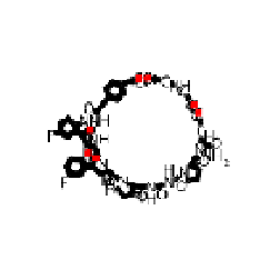 C[C@@]12CCCN1C(=O)NC(=O)NC(=O)[C@@H]1CC[C@H](F)N1C(=O)[C@@H](Cc1c[nH]c3ccc(F)cc13)NC(=O)[C@@H](Cc1c[nH]c3ccc(F)cc13)NC(=O)NC(=O)c1ccc(cc1)-c1ccc(cc1)CNCc1ccc(cc1)C[C@@H](C(N)=O)NC2=O